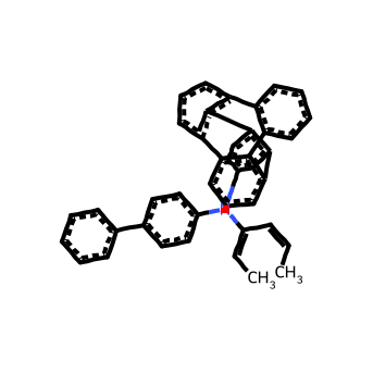 C/C=C\C(=C/C)N(c1ccc(-c2ccccc2)cc1)c1ccc2c(c1)-c1cccc3c1-c1ccccc1-c1cccc-3c1-2